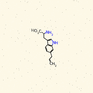 C=CCc1ccc2c(C[C@H](N)C(=O)O)c[nH]c2c1